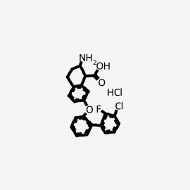 Cl.NC1CCc2ccc(Oc3ccccc3-c3cccc(Cl)c3F)cc2C1C(=O)O